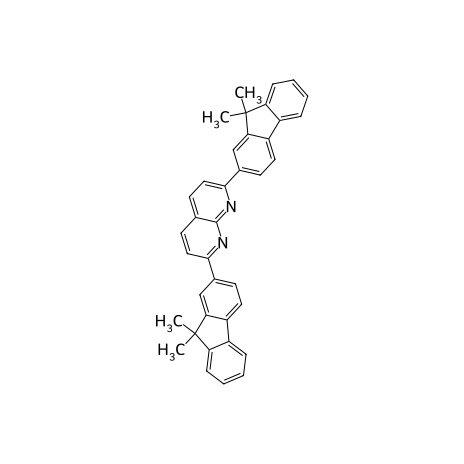 CC1(C)c2ccccc2-c2ccc(-c3ccc4ccc(-c5ccc6c(c5)C(C)(C)c5ccccc5-6)nc4n3)cc21